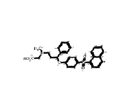 CN(CCC(Oc1ccc(S(=O)(=O)c2cccc3ccccc23)cc1)c1ccccc1)CC(=O)O